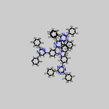 c1ccc(-c2cc(-c3ccc(-n4c5cc(-c6nc(-c7ccccc7)nc(-c7ccccc7)n6)ccc5c5ccc(-c6nc(-c7ccccc7)nc(-c7ccccc7)n6)cc54)c(-c4nc(-c5ccccc5)cc(-c5ccccc5)n4)c3)nc(-c3ccccc3)n2)cc1